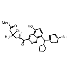 COC(=O)CC(C)(C)CNC(=O)c1cc2c(O)ccc(C(c3ccc(C(C)(C)C)cc3)C3CCCC3)c2cn1